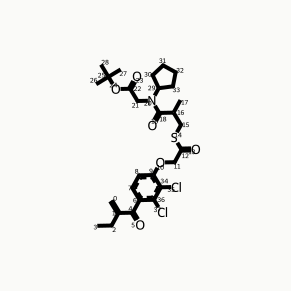 C=C(CC)C(=O)c1ccc(OCC(=O)SCC(C)C(=O)N(CC(=O)OC(C)(C)C)C2CCCC2)c(Cl)c1Cl